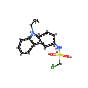 CCn1c2ccccc2c2cc(NS(=O)(=O)CCl)ccc21